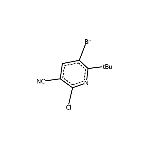 CC(C)(C)c1nc(Cl)c(C#N)cc1Br